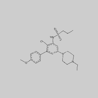 CCCS(=O)(=O)Nc1cc(N2CCN(CC)CC2)cc(-c2ccc(OC)cc2)c1Cl